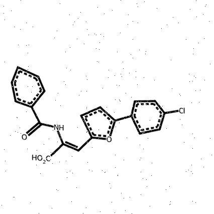 O=C(O)/C(=C/c1ccc(-c2ccc(Cl)cc2)o1)NC(=O)c1ccccc1